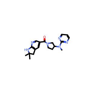 CN(c1ncccn1)C1CCN(C(=O)c2cnc3c(c2)CC(C)(C)N3)C1